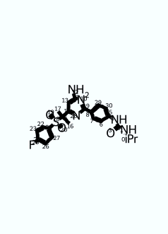 CC(C)NC(=O)Nc1ccc(-c2nc(N)cc(C(C)(C)S(=O)(=O)c3ccc(F)cc3)n2)cc1